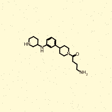 NCCCC(=O)N1CCC(c2cccc(NC3CCCNC3)c2)CC1